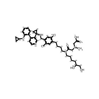 CN(CC(=O)O)CC(=O)N(CCCCc1cc(Cl)c(CNC2(c3cnccc3-c3ccccc3OC3CC3)CC2)cc1Cl)CCCCC(O)CO